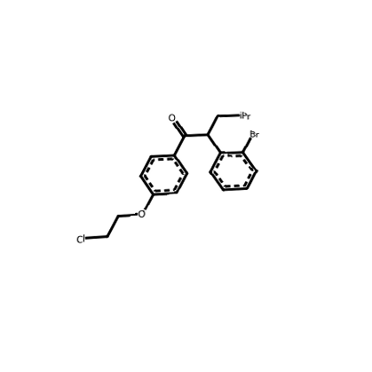 CC(C)CC(C(=O)c1ccc(OCCCl)cc1)c1ccccc1Br